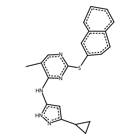 Cc1cnc(Sc2ccc3ccccc3c2)nc1Nc1cc(C2CC2)n[nH]1